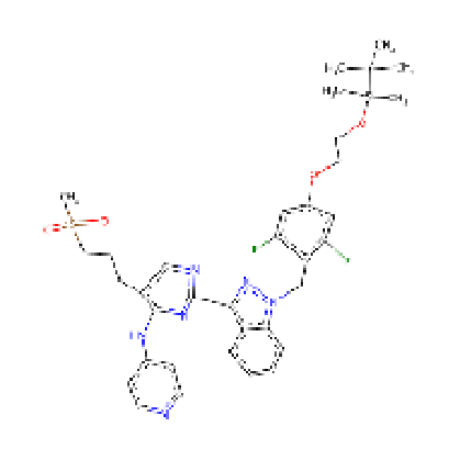 CC(C)(C)[Si](C)(C)OCCOc1cc(F)c(Cn2nc(-c3ncc(CCCS(C)(=O)=O)c(Nc4ccncc4)n3)c3ccccc32)c(F)c1